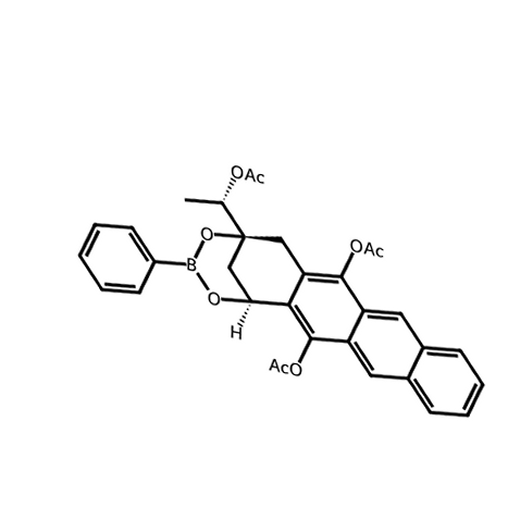 CC(=O)Oc1c2c(c(OC(C)=O)c3cc4ccccc4cc13)[C@@H]1C[C@]([C@H](C)OC(C)=O)(C2)OB(c2ccccc2)O1